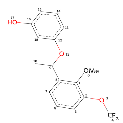 COc1c(OC(F)(F)F)cccc1C(C)Oc1c[c]cc(O)c1